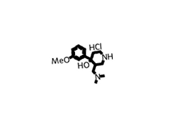 COc1cccc(C2(O)CCNCC2CN(C)C)c1.Cl